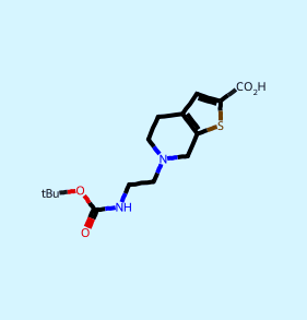 CC(C)(C)OC(=O)NCCN1CCc2cc(C(=O)O)sc2C1